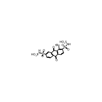 CC(C)(C)c1c(S(=O)(=O)NS(=O)(=O)O)ccc2c1C(=O)c1cc(S(=O)(=O)NS(=O)(=O)O)ccc1C2=O